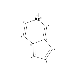 [C]1=C2C=CC=C2C=C[AsH]1